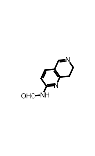 O=CNc1ccc2c(n1)CCN=C2